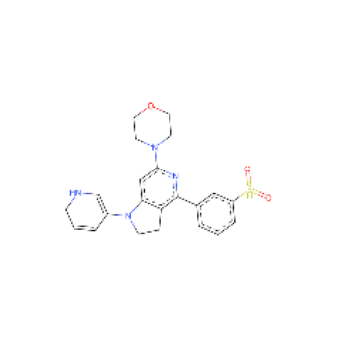 O=[SH](=O)c1cccc(-c2nc(N3CCOCC3)cc3c2CCN3C2=CNCC=C2)c1